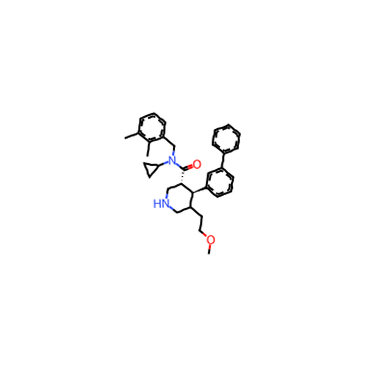 COCCC1CNC[C@H](C(=O)N(Cc2cccc(C)c2C)C2CC2)[C@H]1c1cccc(-c2ccccc2)c1